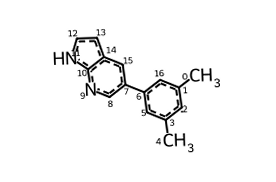 Cc1[c]c(C)cc(-c2cnc3[nH]ccc3c2)c1